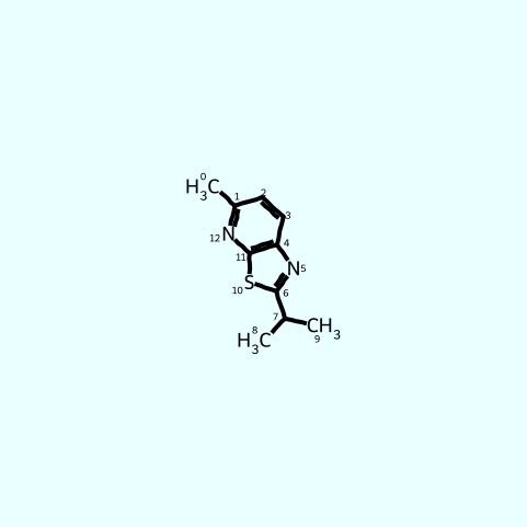 Cc1ccc2nc(C(C)C)sc2n1